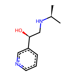 [CH2][C@@H](C)NC[C@H](O)c1cccnc1